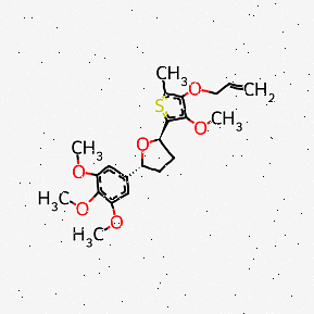 C=CCOc1c(C)sc([C@H]2CC[C@H](c3cc(OC)c(OC)c(OC)c3)O2)c1OC